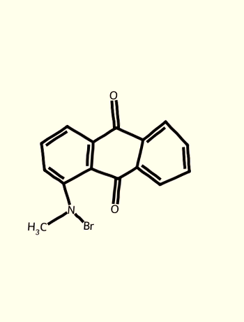 CN(Br)c1cccc2c1C(=O)c1ccccc1C2=O